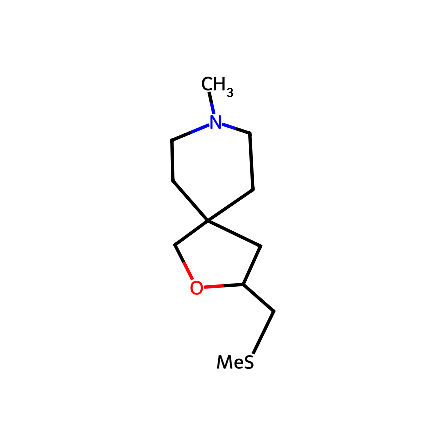 CSCC1CC2(CCN(C)CC2)CO1